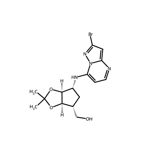 CC1(C)O[C@@H]2[C@@H](CO)C[C@@H](Nc3ccnc4cc(Br)nn34)[C@@H]2O1